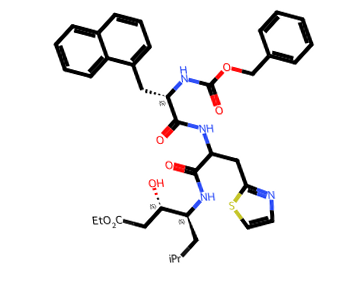 CCOC(=O)C[C@H](O)[C@H](CC(C)C)NC(=O)C(Cc1nccs1)NC(=O)[C@H](Cc1cccc2ccccc12)NC(=O)OCc1ccccc1